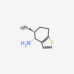 CCC[C@H]1CCc2sccc2[C@@H]1N